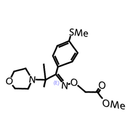 COC(=O)CO/N=C(\c1ccc(SC)cc1)C(C)(C)N1CCOCC1